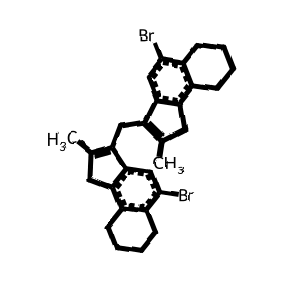 CC1=C(CC2=C(C)Cc3c2cc(Br)c2c3CCCC2)c2cc(Br)c3c(c2C1)CCCC3